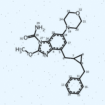 COc1nc2c(CC3CC3Cc3ccccc3)cc(N3CCOCC3)cc2n1C(N)=O